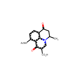 CC(=O)Nc1ccc2c3c1c(=O)c(C(=O)O)cn3C(C)CC2=O